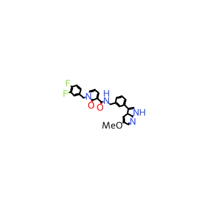 COC1=CC2C(c3cccc(CNC(=O)c4cccn(Cc5ccc(F)c(F)c5)c4=O)c3)=CNC2N=C1